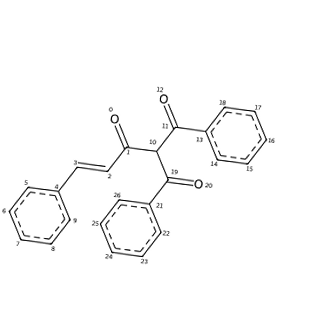 O=C(C=Cc1ccccc1)C(C(=O)c1ccccc1)C(=O)c1ccccc1